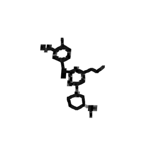 CCCc1cc(N2CCC[C@@H](NC)C2)nc(Nc2ccc(C)c(N)c2)n1